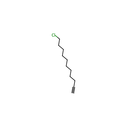 [C]#CCCCCCCCCCCl